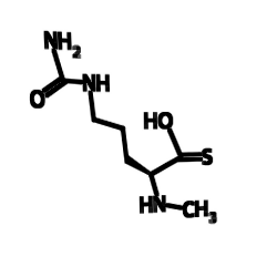 CN[C@@H](CCCNC(N)=O)C(O)=S